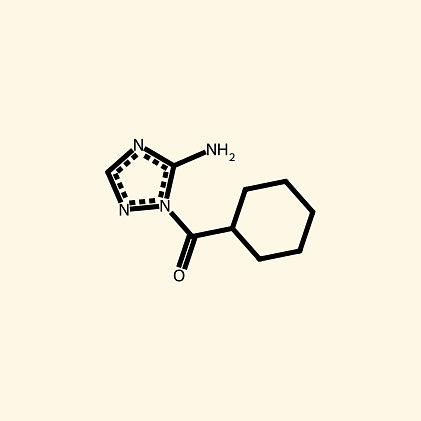 Nc1ncnn1C(=O)C1CCCCC1